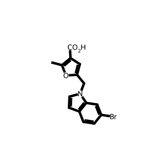 Cc1oc(Cn2ccc3ccc(Br)cc32)cc1C(=O)O